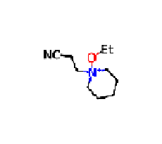 [CH2]CO[N+]1(CCC#N)CCCCC1